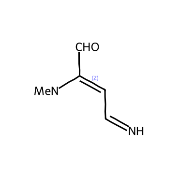 CN/C(C=O)=C\C=N